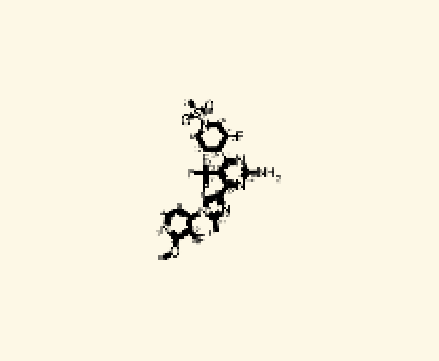 COc1nccc(-n2cc(-c3nc(N)nc([C@@H]4CCN(S(C)(=O)=O)C[C@@H]4F)c3C(F)(F)F)nc2C)c1F